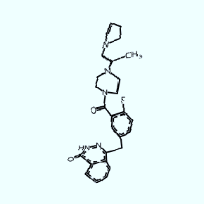 CC(CN1C=CCC1)N1CCN(C(=O)c2cc(Cc3n[nH]c(=O)c4ccccc34)ccc2F)CC1